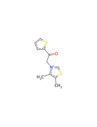 Cc1sc[n+](CC(=O)c2cccs2)c1C